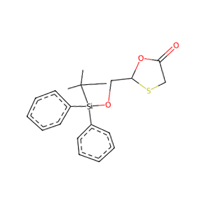 CC(C)(C)[Si](OCC1OC(=O)CS1)(c1ccccc1)c1ccccc1